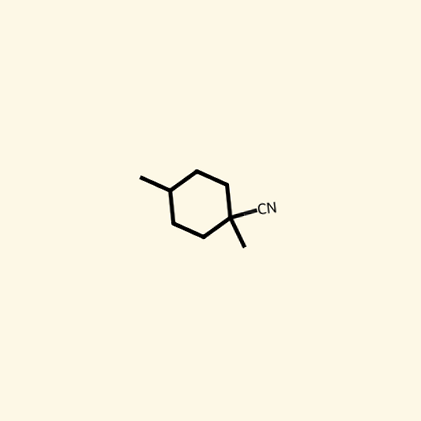 CC1CCC(C)(C#N)CC1